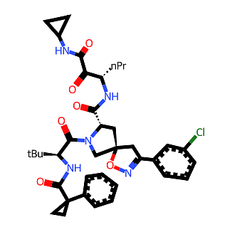 CCC[C@H](NC(=O)[C@@H]1C[C@]2(CC(c3cccc(Cl)c3)=NO2)CN1C(=O)[C@@H](NC(=O)C1(c2ccccc2)CC1)C(C)(C)C)C(=O)C(=O)NC1CC1